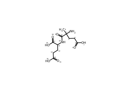 CC(N)(CCC(=O)O)C(=O)NC(CCC(=O)O)C(=O)O